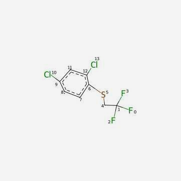 FC(F)(F)CSc1c[c]c(Cl)cc1Cl